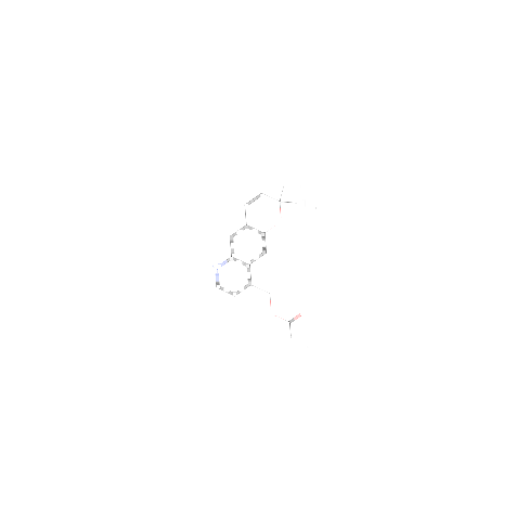 CC(=O)OCc1ccnc2cc3c(cc12)OC(C)(C)C=C3